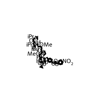 CC[C@H](C)[C@@H]([C@@H](CC(=O)N1CCC[C@H]1[C@H](OC)[C@@H](C)C(=O)N[C@@H](Cc1ccc(OC(=O)Oc2ccc([N+](=O)[O-])cc2)cc1)C(=O)NS(=O)(=O)C1CC1)OC)N(C)C(=O)[C@@H](NC(=O)[C@H](C(C)C)N(C)C)C(C)C